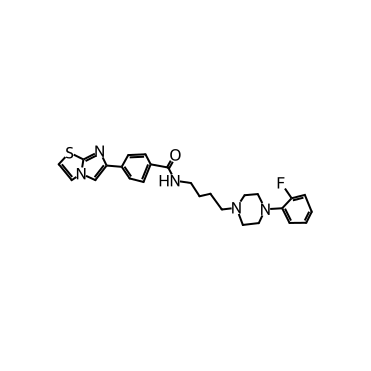 O=C(NCCCCN1CCN(c2ccccc2F)CC1)c1ccc(-c2cn3ccsc3n2)cc1